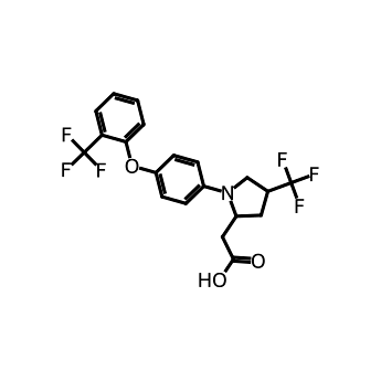 O=C(O)CC1CC(C(F)(F)F)CN1c1ccc(Oc2ccccc2C(F)(F)F)cc1